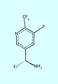 CC[C@@H](N)c1cnc(C(F)(F)F)c(F)c1